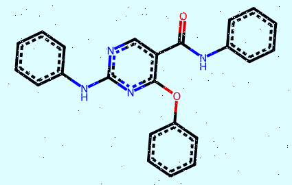 O=C(Nc1ccccc1)c1cnc(Nc2ccccc2)nc1Oc1ccccc1